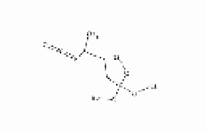 CCO[Si](CCC(C)N=C=O)(OCC)OCC